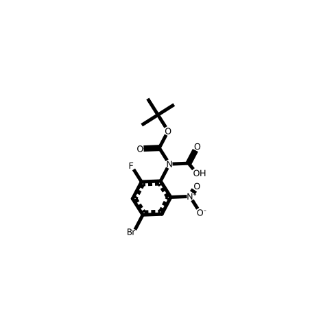 CC(C)(C)OC(=O)N(C(=O)O)c1c(F)cc(Br)cc1[N+](=O)[O-]